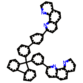 c1cc(-c2ccc(-c3ccc4ccc5cccnc5c4n3)cc2)cc(C2(c3cccc(-c4ccc5ccc6cccnc6c5n4)c3)c3ccccc3-c3ccccc32)c1